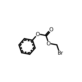 O=C(OCBr)Oc1ccccc1